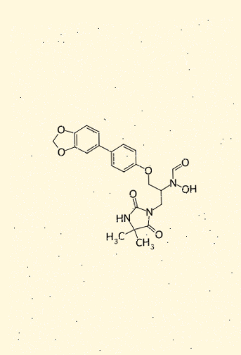 CC1(C)NC(=O)N(CC(COc2ccc(-c3ccc4c(c3)OCO4)cc2)N(O)C=O)C1=O